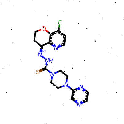 Fc1ccnc2c1OCC/C2=N/NC(=S)N1CCN(c2cnccn2)CC1